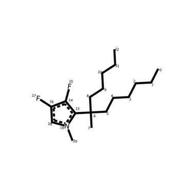 CCCCCCC(C)(CCCCC)c1c(F)c(F)cn1C